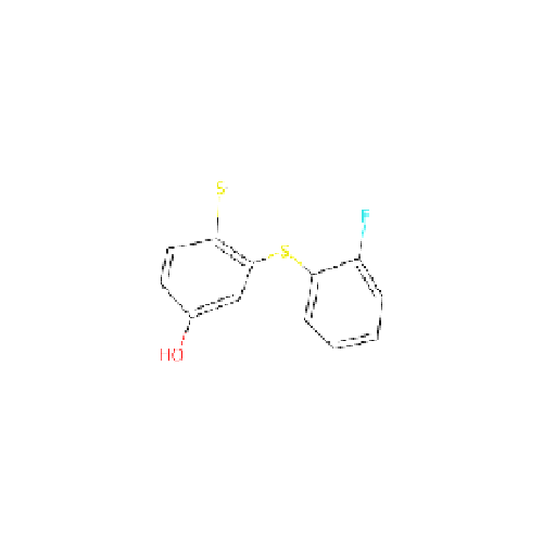 Oc1ccc([S])c(Sc2ccccc2F)c1